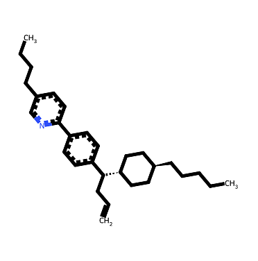 C=CCC(c1ccc(-c2ccc(CCCC)cn2)cc1)[C@H]1CC[C@H](CCCCC)CC1